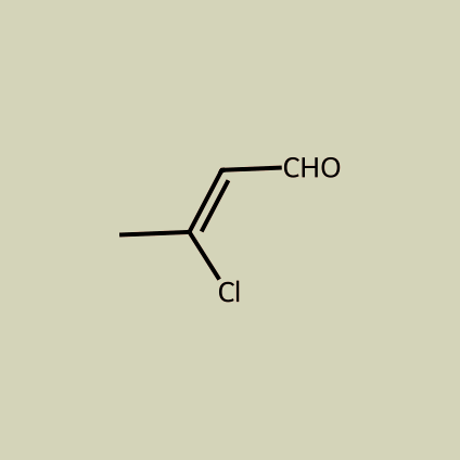 C/C(Cl)=C/C=O